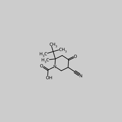 CC(C)(C)C1(C)CC(=O)C(C#N)CN1C(=O)O